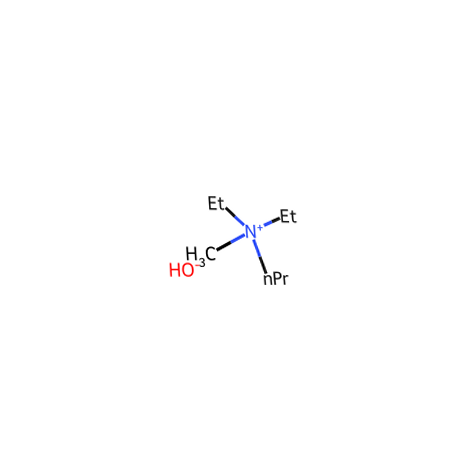 CCC[N+](C)(CC)CC.[OH-]